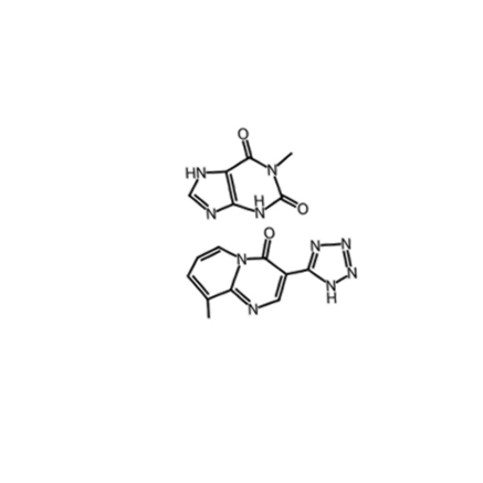 Cc1cccn2c(=O)c(-c3nnn[nH]3)cnc12.Cn1c(=O)[nH]c2nc[nH]c2c1=O